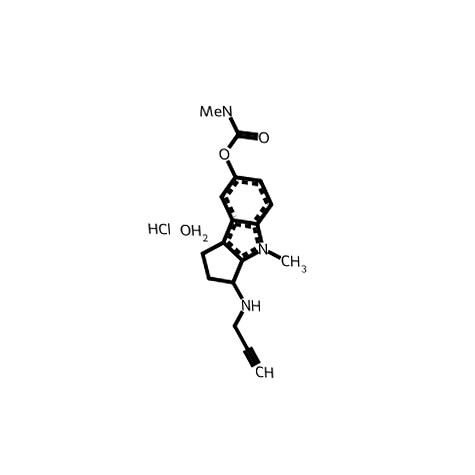 C#CCNC1CCc2c1n(C)c1ccc(OC(=O)NC)cc21.Cl.O